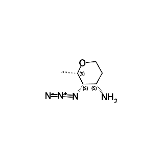 C[C@@H]1OCC[C@H](N)[C@@H]1N=[N+]=[N-]